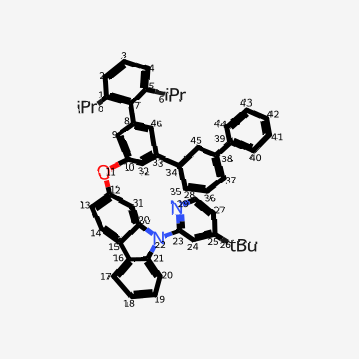 CC(C)c1cccc(C(C)C)c1-c1cc(Oc2ccc3c4ccccc4n(-c4cc(C(C)(C)C)ccn4)c3c2)cc(C2C=CC=C(c3ccccc3)C2)c1